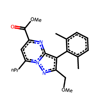 CCCc1cc(C(=O)OC)nc2c(-c3c(C)cccc3C)c(COC)nn12